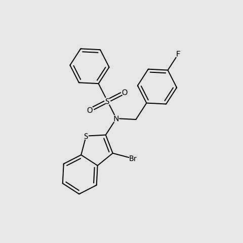 O=S(=O)(c1ccccc1)N(Cc1ccc(F)cc1)c1sc2ccccc2c1Br